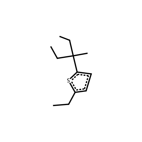 CCc1ccc(C(C)(CC)CC)s1